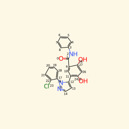 O=C(Nc1ccccc1)c1cc(-c2ccnn2-c2ccccc2Cl)c(O)cc1O